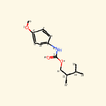 COc1ccc(NC(=O)OC[C@H](C)C(C)C)cc1